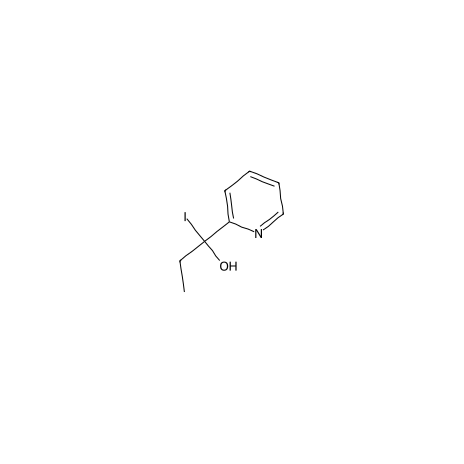 CCC(O)(I)c1ccccn1